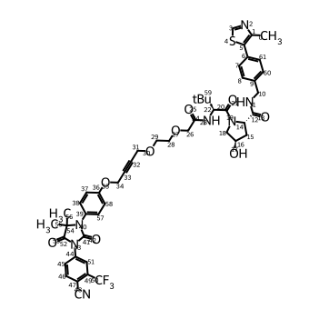 Cc1ncsc1-c1ccc(CNC(=O)[C@@H]2C[C@@H](O)CN2C(=O)[C@@H](NC(=O)COCCOCC#CCOc2ccc(N3C(=O)N(c4ccc(C#N)c(C(F)(F)F)c4)C(=O)C3(C)C)cc2)C(C)(C)C)cc1